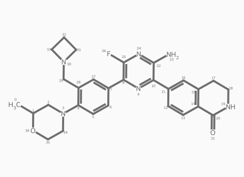 CC1CN(c2ccc(-c3nc(-c4ccc5c(c4)CCNC5=O)c(N)nc3F)cc2CN2CCC2)CCO1